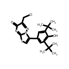 CC(C)(C)c1cc(-c2csc3nc(=O)c(CCl)nn23)cc(C(C)(C)C)c1O